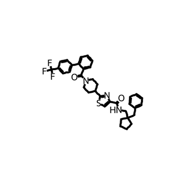 O=C(NCC1(Cc2ccccc2)CCCC1)c1csc(C2CCN(C(=O)c3ccccc3-c3ccc(C(F)(F)F)cc3)CC2)n1